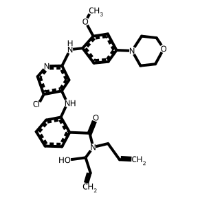 C=CCN(C(=O)c1ccccc1Nc1cc(Nc2ccc(N3CCOCC3)cc2OC)ncc1Cl)C(O)C=C